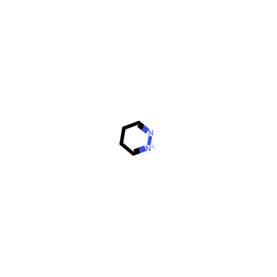 C1=N[N+]=CCC1